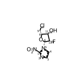 O=[N+]([O-])c1nccn1[C@@H]1O[C@H](CCl)[C@@H](O)[C@@H]1F